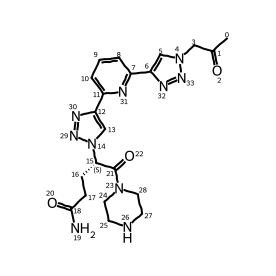 CC(=O)Cn1cc(-c2cccc(-c3cn([C@@H](CCC(N)=O)C(=O)N4CCNCC4)nn3)n2)nn1